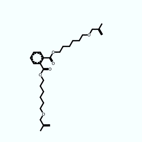 C=C(C)COCCCCCCOC(=O)c1ccccc1C(=O)OCCCCCCOCC(=C)C